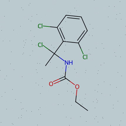 CCOC(=O)NC(C)(Cl)c1c(Cl)cccc1Cl